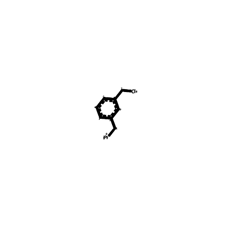 CC(C)Cc1cccc([CH]Cl)c1